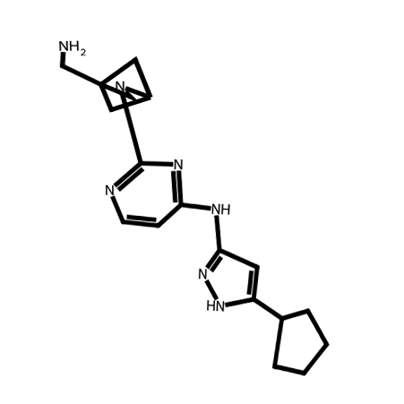 NCC12CC(C1)N(c1nccc(Nc3cc(C4CCCC4)[nH]n3)n1)C2